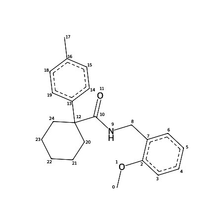 COc1ccccc1CNC(=O)C1(c2ccc(C)cc2)CCCCC1